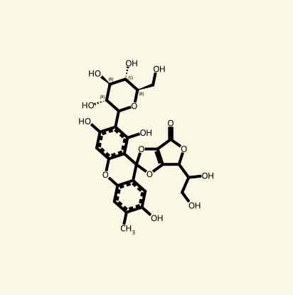 Cc1cc2c(cc1O)C1(OC3=C(O1)C(C(O)CO)OC3=O)c1c(cc(O)c(C3O[C@H](CO)[C@@H](O)[C@H](O)[C@H]3O)c1O)O2